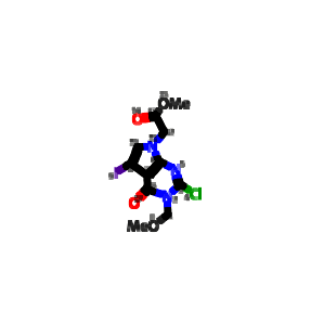 COCn1c(Cl)nc2c(c(I)cn2CC(=O)OC)c1=O